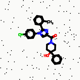 Cc1ccccc1-c1nc(C(=O)N2CCC(O)(c3ccccc3)CC2)cn1-c1ccc(Cl)cc1